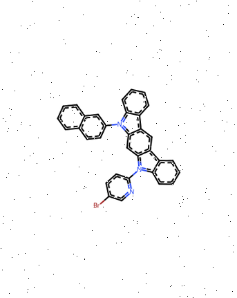 Brc1ccc(-n2c3ccccc3c3cc4c5ccccc5n(-c5ccc6ccccc6c5)c4cc32)nc1